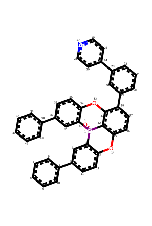 O=P12c3cc(-c4ccccc4)ccc3Oc3ccc(-c4cccc(-c5ccncc5)c4)c(c31)Oc1ccc(-c3ccccc3)cc12